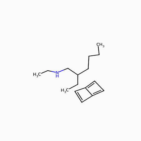 CCCCC(CC)CNCC.c1cc2ccc1-2